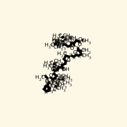 C=CC[C@@H]1O[C@@H](C(/C=C/C(O)CCC2CC(=C)[C@H](CCC3CC(C)C(=C)C(C[C@@H]4OC(CC(CO[Si](C)(C)C(C)(C)C)O[Si](C)(C)C(C)(C)C)[C@H](OC)C4CC(=O)OC)O3)O2)O[Si](C)(C)C(C)(C)C)C(O[Si](C)(C)C(C)(C)C)C(O[Si](C)(C)C(C)(C)C)C1OC(=O)c1ccccc1